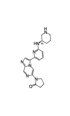 O=C1CCCN1c1cn2c(-c3cccc(N[C@@H]4CCCNC4)n3)cnc2cn1